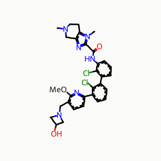 COc1nc(-c2cccc(-c3cccc(NC(=O)c4nc5c(n4C)CCN(C)C5)c3Cl)c2Cl)ccc1CN1CC(O)C1